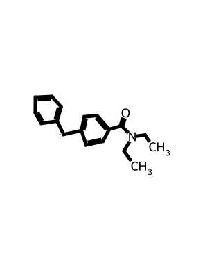 CCN(CC)C(=O)c1ccc([CH]c2ccccc2)cc1